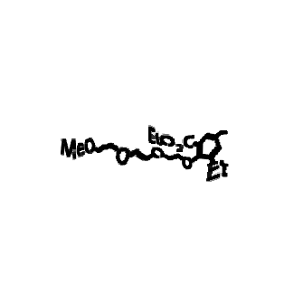 CCOC(=O)c1cc(C)cc(CC)c1OCCOCCOCCOC